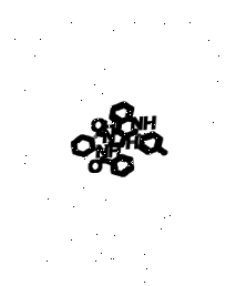 Cc1ccc([C@H]2Nc3ccccc3[C@@H]3[C@H]2CCN3C(=O)[C@H]2CCCC[C@H]2NC(=O)c2ccccc2)cc1